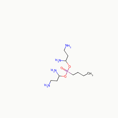 CCCCP(=O)(OC(N)CCN)OC(N)CCN